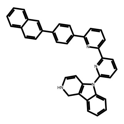 C1=Cc2c(c3ccccc3n2-c2cccc(-c3cccc(-c4ccc(-c5ccc6ccccc6c5)cc4)n3)n2)CN1